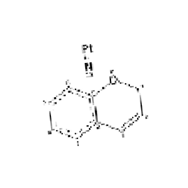 C1=Cc2ccccc2OC1.[Ni].[Pt]